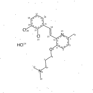 Cc1ccc(OCCCN(C)C)c(C=Cc2cccc(Cl)c2Cl)n1.Cl